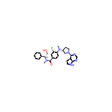 CN(C(=O)c1ccc(N(C)[C@@H]2CCN(c3ncnc4[nH]ccc34)C2)c(F)c1)[C@@H](CO)c1ccccc1